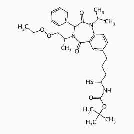 CCOOCC(C)N1C(=O)c2cc(CCCC(S)NC(=O)OC(C)(C)C)ccc2N(C(C)C)C(=O)C1c1ccccc1